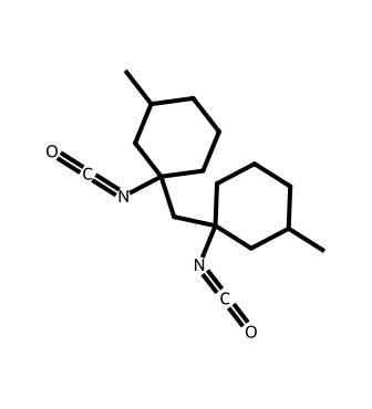 CC1CCCC(CC2(N=C=O)CCCC(C)C2)(N=C=O)C1